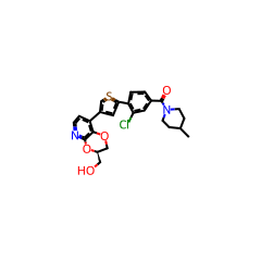 CC1CCN(C(=O)c2ccc(-c3cc(-c4ccnc5c4OC[C@@H](CO)O5)cs3)c(Cl)c2)CC1